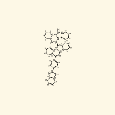 c1ccc2c(c1)N=C(n1c3ccccc3c3cc(-c4ccc(-c5nc6ccccc6s5)cc4)c4ccccc4c31)N1c3ccccc3NC21